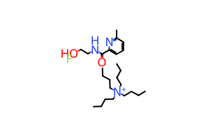 CCCC[N+](CCCC)(CCCC)CCCC.Cc1cccc(C(=O)NCCO)n1.[F-]